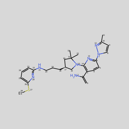 C=C(N)c1ccc(-n2ccc(C)n2)nc1N1C[C@@H](CCCNc2cccc(SCC)n2)CC1(C)C